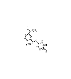 COc1ccc([S+](C)[O-])cc1/C=C/c1ccc(=O)[nH]n1